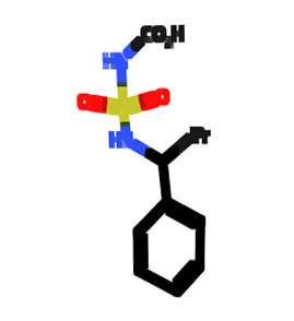 CC(C)C(NS(=O)(=O)NC(=O)O)c1ccccc1